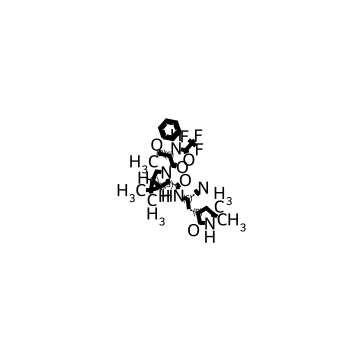 C[C@@H](Oc1ccccc1)[C@H](NC(=O)C(F)(F)F)C(=O)N1C[C@H]2[C@@H]([C@H]1C(=O)N[C@H](C#N)C[C@@H]1CC(C)(C)NC1=O)C2(C)C